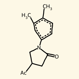 CC(=O)C1CC(=O)N(c2ccc(C)c(C)c2)C1